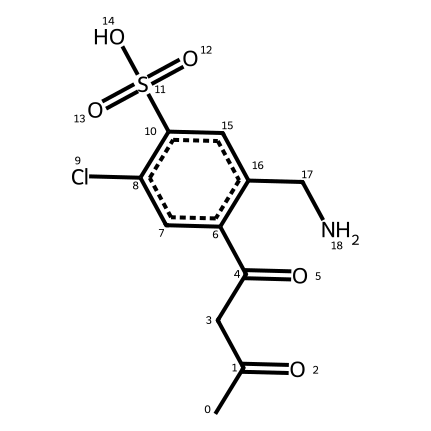 CC(=O)CC(=O)c1cc(Cl)c(S(=O)(=O)O)cc1CN